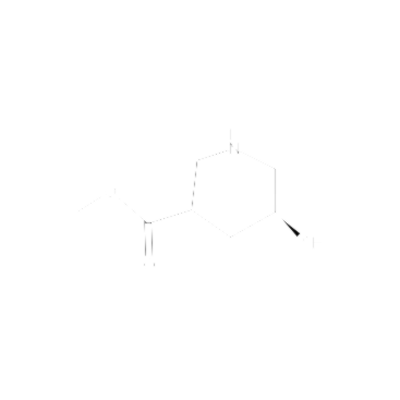 COC(=O)C1CNC[C@@H](S)C1